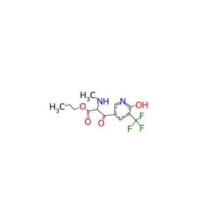 CCCOC(=O)C(NC)C(=O)c1cnc(O)c(C(F)(F)F)c1